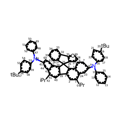 CC(C)c1cc2c(c3ccc(N(c4ccccc4)c4ccc(C(C)(C)C)cc4)cc13)C1(c3ccccc3-c3ccccc31)c1c-2cc(C(C)C)c2cc(N(c3ccccc3)c3ccc(C(C)(C)C)cc3)ccc12